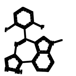 Cn1cc2c3c(cccc31)-c1[nH]ncc1N=C2c1c(F)cccc1F